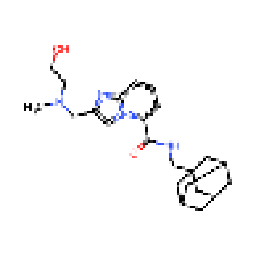 CN(CCO)Cc1cn2c(C(=O)NCC34CC5CC(CC(C5)C3)C4)cccc2n1